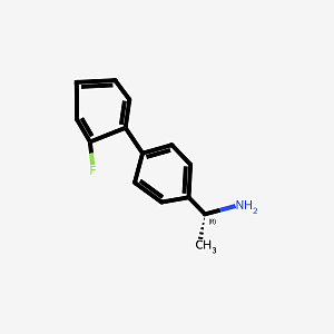 C[C@@H](N)c1ccc(-c2ccccc2F)cc1